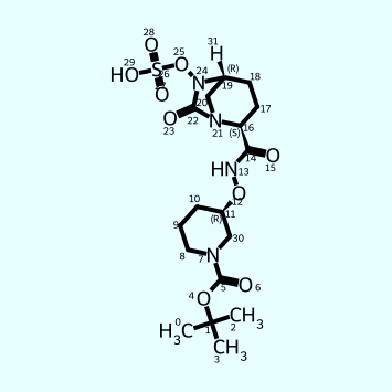 CC(C)(C)OC(=O)N1CCC[C@@H](ONC(=O)[C@@H]2CC[C@@H]3CN2C(=O)N3OS(=O)(=O)O)C1